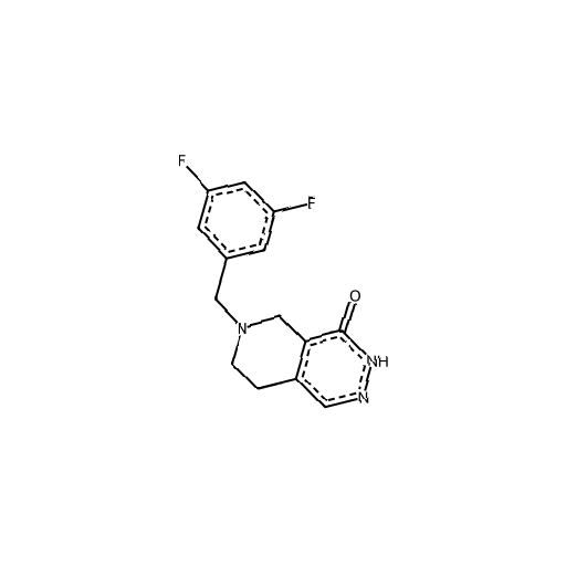 O=c1[nH]ncc2c1CN(Cc1cc(F)cc(F)c1)CC2